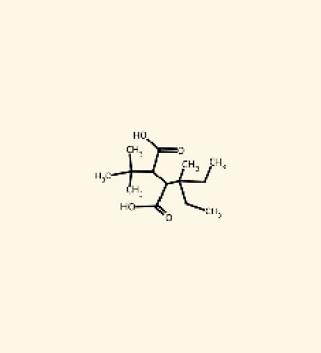 CCC(C)(CC)C(C(=O)O)C(C(=O)O)C(C)(C)C